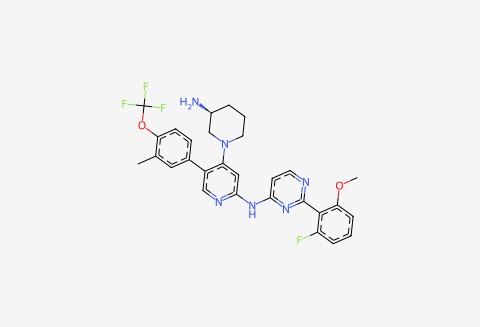 COc1cccc(F)c1-c1nccc(Nc2cc(N3CCC[C@H](N)C3)c(-c3ccc(OC(F)(F)F)c(C)c3)cn2)n1